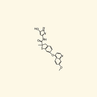 COc1ccc2c(Oc3ccc4c(c3)SC(C)(C(=O)Nc3cc(O)[nH]n3)C4)ccnc2c1